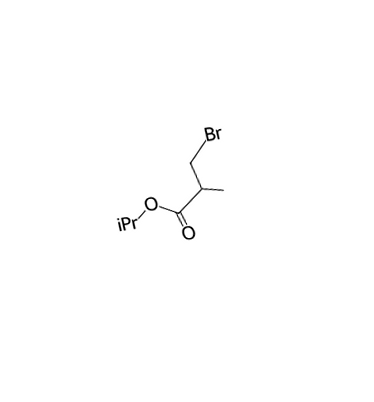 CC(C)OC(=O)C(C)CBr